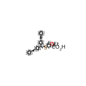 CCC(Oc1ccc(SCC=C(c2ccc(C#Cc3ccccc3)cc2)c2ccc(C#Cc3ccccc3)cc2)cc1C)C(=O)O